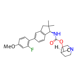 COc1ccc(-c2ccc3c(c2)CC(C)(C)[C@H]3NC(=O)O[C@H]2CN3CCC2CC3)c(F)c1